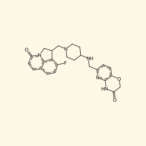 O=C1COc2ccc(CNC3CCN(CC4Cn5c(=O)ccc6ccc(F)c4c65)CC3)nc2N1